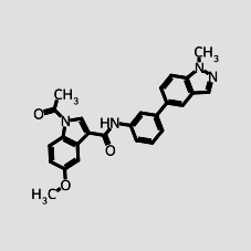 COc1ccc2c(c1)c(C(=O)Nc1cccc(-c3ccc4c(cnn4C)c3)c1)cn2C(C)=O